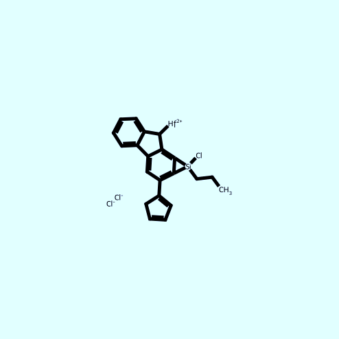 CCC[Si]1(Cl)c2c(C3=CC=CC3)cc3c(c21)[CH]([Hf+2])c1ccccc1-3.[Cl-].[Cl-]